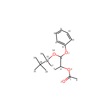 CC(=O)OC(C)C(Oc1ccccc1)O[Si](C)(C)C(C)(C)C